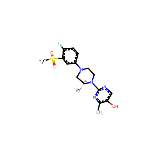 Cc1nc(N2CCN(c3ccc(F)c(S(C)(=O)=O)c3)C[C@H]2C(C)C)ncc1O